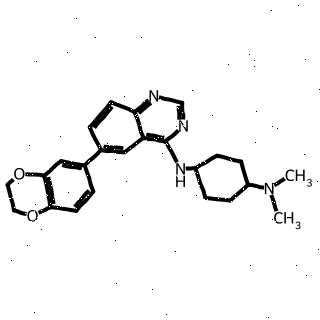 CN(C)C1CCC(Nc2ncnc3ccc(-c4ccc5c(c4)OCCO5)cc23)CC1